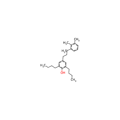 CCCCc1cc(CC[SiH2]c2cccc(C)c2C)cc(CCCC)c1O